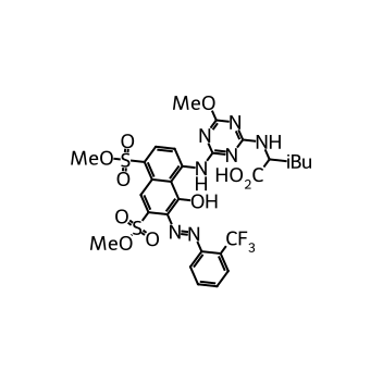 CCC(C)C(Nc1nc(Nc2ccc(S(=O)(=O)OC)c3cc(S(=O)(=O)OC)c(N=Nc4ccccc4C(F)(F)F)c(O)c23)nc(OC)n1)C(=O)O